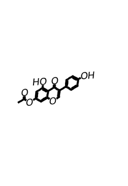 CC(=O)Oc1cc(O)c2c(=O)c(-c3ccc(O)cc3)coc2c1